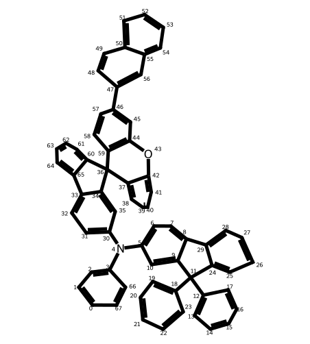 c1ccc(N(c2ccc3c(c2)C(c2ccccc2)(c2ccccc2)c2ccccc2-3)c2ccc3c(c2)C2(c4ccccc4Oc4cc(-c5ccc6ccccc6c5)ccc42)c2ccccc2-3)cc1